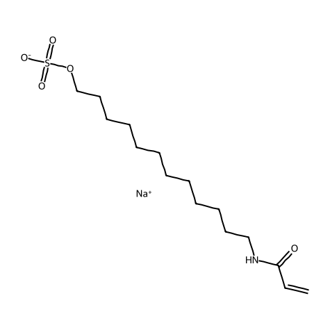 C=CC(=O)NCCCCCCCCCCCCOS(=O)(=O)[O-].[Na+]